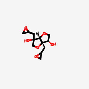 O[C@H]1CO[C@@H]2[C@@](O)(CC3CO3)CO[C@@]21CC1CO1